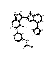 CCC(=O)Nc1cncc(-c2ncc3[nH]nc(-c4nc5c(-c6ccoc6)cccc5[nH]4)c3c2F)c1